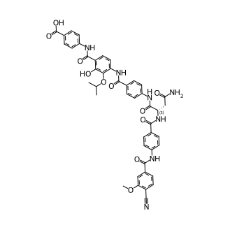 COc1cc(C(=O)Nc2ccc(C(=O)N[C@@H](CC(N)=O)C(=O)Nc3ccc(C(=O)Nc4ccc(C(=O)Nc5ccc(C(=O)O)cc5)c(O)c4OC(C)C)cc3)cc2)ccc1C#N